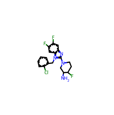 NC1CN(c2nc3cc(F)c(F)cc3n2Cc2ccccc2Cl)CCC1F